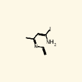 C=C/N=C(C)\C=C(/N)I